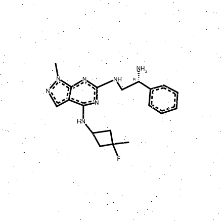 Cn1ncc2c(NC3CC(C)(F)C3)nc(NC[C@H](N)c3ccccc3)nc21